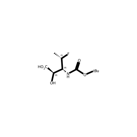 C[C@H](F)[C@H](NC(=O)OC(C)(C)C)[C@@H](O)C(=O)O